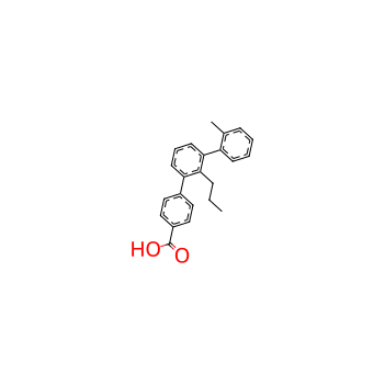 CCCc1c(-c2ccc(C(=O)O)cc2)cccc1-c1ccccc1C